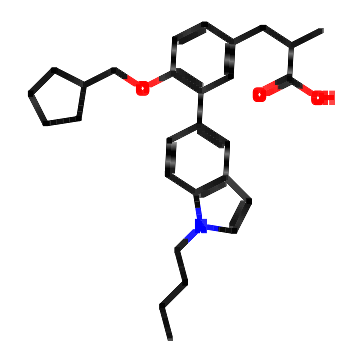 CCCCn1ccc2cc(-c3cc(CC(C)C(=O)O)ccc3OCC3CCCC3)ccc21